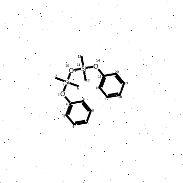 C[Si](C)(Oc1ccccc1)O[Si](C)(C)Oc1ccccc1